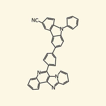 N#Cc1ccc2c(c1)c1cc(-c3ccc(-c4nc5ccccc5c5nc6ccccn6c45)cc3)ccc1n2-c1ccccc1